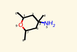 CC1CC(C)(N)CC(C)O1